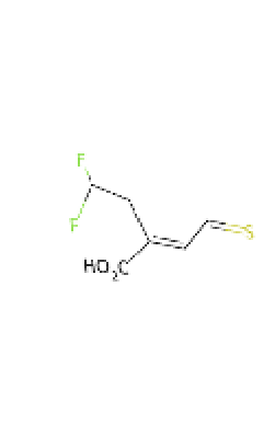 O=C(O)/C(=C/C=S)CC(F)F